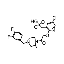 CC1CN(Cc2ccc(F)c(F)c2)CCN1C(=O)COc1ncc(Cl)cc1CS(=O)(=O)O